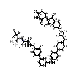 Cc1cc(-c2ccnc(Nc3ccc(N4CCN(CC5CN(c6ccc7c(c6)C(=O)N(C6CCC(=O)NC6=O)C7=O)C5)CC4)cc3)n2)ccc1CNC(=O)/C(N)=C/N(N)C(C)(C)C